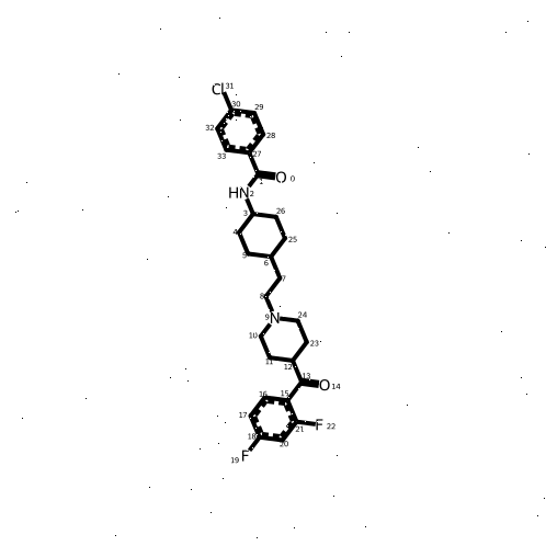 O=C(NC1CCC(CCN2CCC(C(=O)c3ccc(F)cc3F)CC2)CC1)c1ccc(Cl)cc1